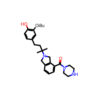 CC(C)COc1cc(CCC(C)(C)N2Cc3cccc(C(=O)N4CCNCC4)c3C2)ccc1O